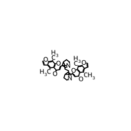 Cc1c2occc2c(C)c2c(=O)cc(C3(CCC4(c5cc(=O)c6c(C)c7ccoc7c(C)c6o5)C5CCN4CC5)C4CCN3CC4)oc12